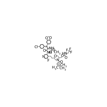 COC(=O)N[C@H](C(=O)Nc1cncc(F)c1CCC1CN(C(=O)OC(C)(C)C)C(COC(=O)NCC(F)(F)F)CO1)[C@@H](c1ccc(Cl)cc1)c1ccc2c(c1)OCO2